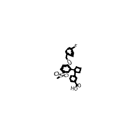 CS(=O)(=O)c1ccc(OCc2ccc(F)cc2)c(C2=C(c3cccc(C(=O)O)c3)CCC2)c1